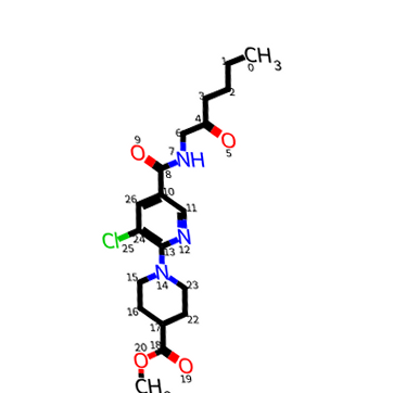 CCCCC(=O)CNC(=O)c1cnc(N2CCC(C(=O)OC)CC2)c(Cl)c1